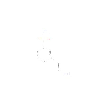 NCCc1cccc(S(N)(=O)=O)c1